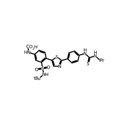 CC(C)NC(=S)Nc1ccc(-c2ncc(-c3ccc(NC(=O)O)cc3S(=O)(=O)NC(C)(C)C)s2)cc1